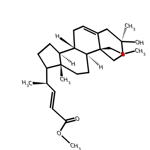 COC[C@]12CC[C@](C)(O)CC1=CC[C@@H]1[C@@H]2CC[C@]2(C)C([C@H](C)/C=C/C(=O)OC)CC[C@@H]12